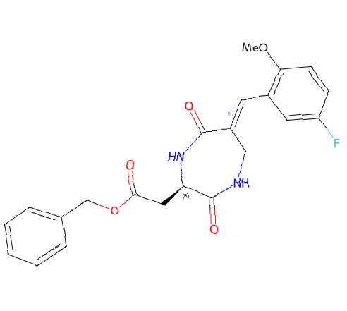 COc1ccc(F)cc1/C=C1\CNC(=O)[C@@H](CC(=O)OCc2ccccc2)NC1=O